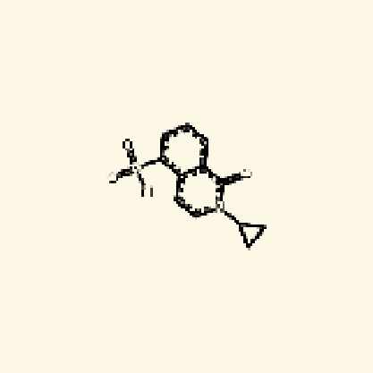 O=c1c2cccc(S(=O)(=O)Cl)c2ccn1C1CC1